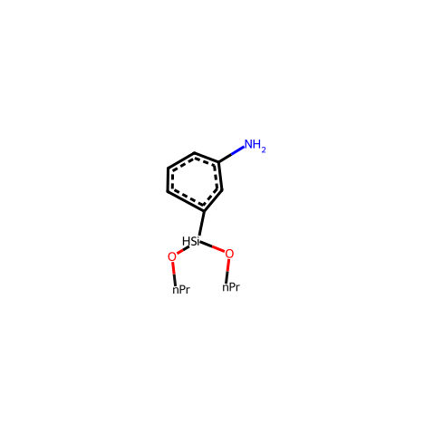 CCCO[SiH](OCCC)c1cccc(N)c1